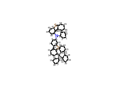 c1ccc(N(c2ccc3c(c2)sc2c(C4(c5ccccc5)c5ccccc5-c5ccccc54)cccc23)c2cccc3sc4ccccc4c23)cc1